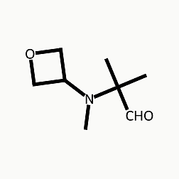 CN(C1COC1)C(C)(C)C=O